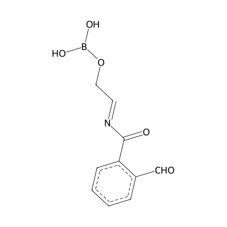 O=Cc1ccccc1C(=O)N=CCOB(O)O